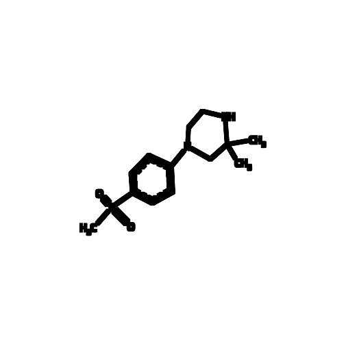 CC1(C)CN(c2ccc(S(C)(=O)=O)cc2)CCN1